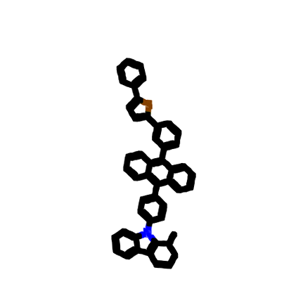 CC1CC=Cc2c1n(-c1ccc(-c3c4ccccc4c(-c4cccc(-c5ccc(-c6ccccc6)s5)c4)c4ccccc34)cc1)c1ccccc21